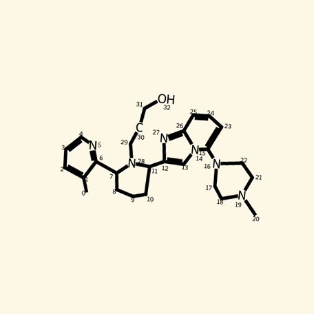 Cc1cccnc1C1CCCC(c2cn3c(N4CCN(C)CC4)cccc3n2)N1CCCO